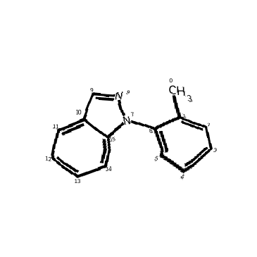 Cc1ccccc1-n1ncc2ccccc21